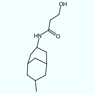 CC1CC2CC(C1)CC(NC(=O)CCO)C2